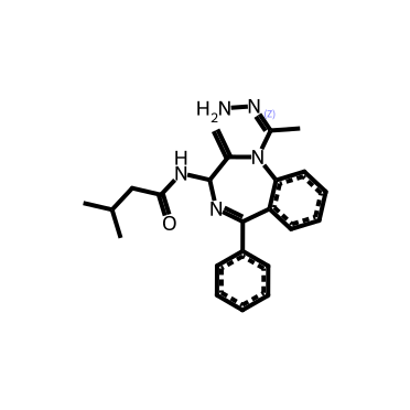 C=C1C(NC(=O)CC(C)C)N=C(c2ccccc2)c2ccccc2N1/C(C)=N\N